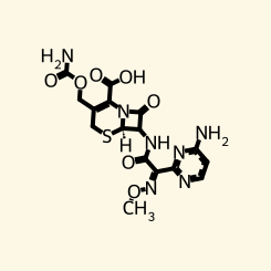 CO/N=C(\C(=O)NC1C(=O)N2C(C(=O)O)=C(COC(N)=O)CS[C@H]12)c1nccc(N)n1